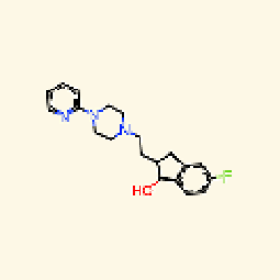 OC1c2ccc(F)cc2CC1CCN1CCN(c2ccccn2)CC1